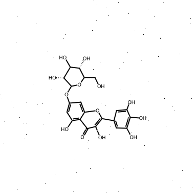 O=c1c(O)c(-c2cc(O)c(O)c(O)c2)oc2cc(OC3OC(CO)[C@@H](O)C(O)[C@H]3O)cc(O)c12